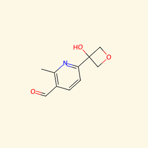 Cc1nc(C2(O)COC2)ccc1C=O